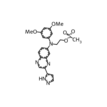 COc1cc(OC)cc(N(CCOS(C)(=O)=O)c2ccc3ncc(-c4ccn[nH]4)nc3c2)c1